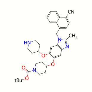 Cc1nc2cc(OC3CCN(C(=O)OC(C)(C)C)CC3)c(OC3CCNCC3)cc2n1Cc1ccc(C#N)c2ccccc12